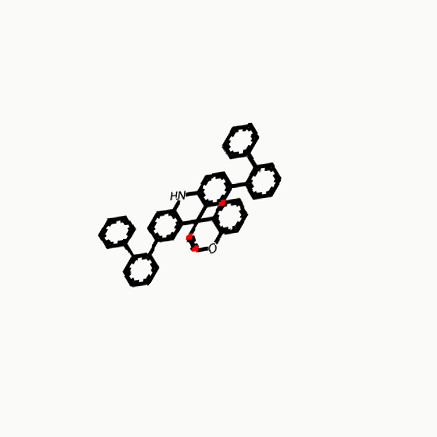 c1ccc(-c2ccccc2-c2ccc3c(c2)C2(c4cc(-c5ccccc5-c5ccccc5)ccc4N3)c3ccccc3Oc3ccccc32)cc1